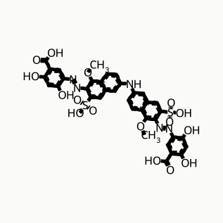 COc1c(N=Nc2cc(C(=O)O)c(O)cc2O)c(S(=O)(=O)O)cc2cc(Nc3ccc4c(OC)c(N=Nc5cc(C(=O)O)c(O)cc5O)c(S(=O)(=O)O)cc4c3)ccc12